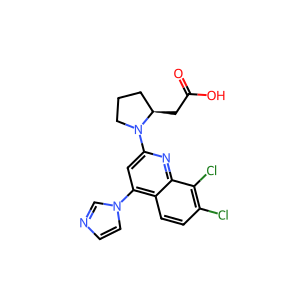 O=C(O)C[C@@H]1CCCN1c1cc(-n2ccnc2)c2ccc(Cl)c(Cl)c2n1